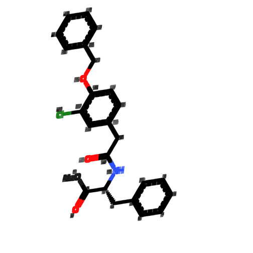 COC(=O)[C@@H](Cc1ccccc1)NC(=O)Cc1ccc(OCc2ccccc2)c(Cl)c1